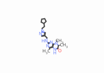 Cc1nc(NCc2cnn(CCC3CCCC3)c2)nc2c1NC(=O)[C@H](C)N2C